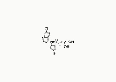 O=C(OCC(O)CO)c1cc(F)ccc1Nc1ccnc2cc(Cl)ccc12